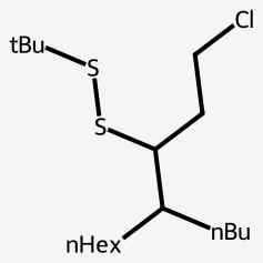 CCCCCCC(CCCC)C(CCCl)SSC(C)(C)C